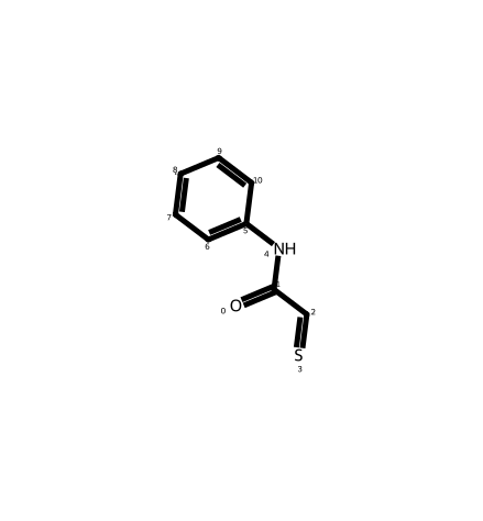 O=C(C=S)Nc1cc[c]cc1